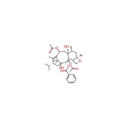 CC(=O)O[C@@H]1C2=C(C)[C@@H](C(C)C)C[C@@](O)([C@@H](OC(=O)c3ccccc3)[C@@H]3[C@]4(OC(C)=O)CO[C@@H]4C[C@H](C)[C@@]3(C)[C@H]1O)C2(C)C